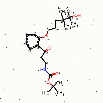 CC(C)(C)OC(=O)NCCC(=O)c1ccccc1OCCCC(C)(C)[Si](C)(C)O